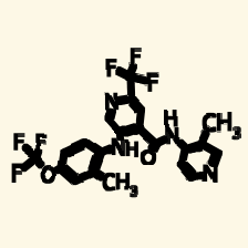 Cc1cnccc1NC(=O)c1cc(C(F)(F)F)ncc1Nc1ccc(OC(F)(F)F)cc1C